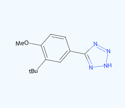 COc1ccc(-c2nn[nH]n2)cc1C(C)(C)C